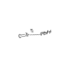 [O]=[Zr][PbH].[Ti]